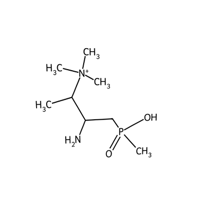 CC(C(N)CP(C)(=O)O)[N+](C)(C)C